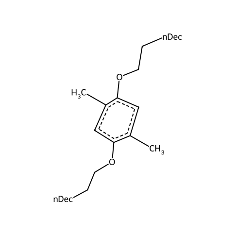 CCCCCCCCCCCCOc1cc(C)c(OCCCCCCCCCCCC)cc1C